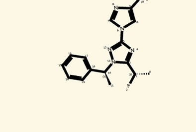 C[C@H](F)c1nc(-n2cnc(C(F)(F)F)c2)nn1[C@@H](C)c1ccccc1